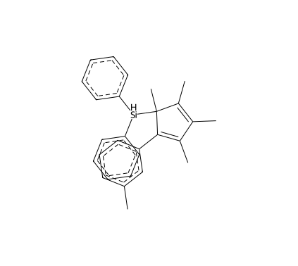 CC1=C(C)C(C)([SiH](c2ccccc2)c2ccccc2)C(c2cccc(C)c2)=C1C